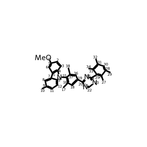 COc1ccc2c(c1)c1cc(C)ccc1n2-c1c(C)cc(-c2ncnc(-c3c(C)c(C)cc(C)c3C)n2)cc1C